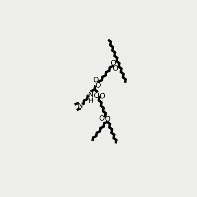 CCCCCCCCC(CCCCCCCC)OC(=O)CCCCCCC(=O)OCC(CNCCCCN(CC)CC)COC(=O)CCCCCCC(=O)OC(CCCCCCCC)CCCCCCCC